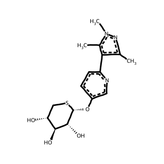 Cc1nn(C)c(C)c1-c1ccc(O[C@H]2SC[C@@H](O)[C@H](O)[C@H]2O)cn1